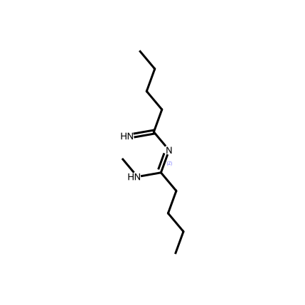 CCCCC(=N)/N=C(/CCCC)NC